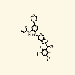 C=CC(=O)Nc1cc(N2CCOCC2)ccc1Nc1cc2cc(C(O)c3c(F)c(OC)cc(OC)c3F)oc2cn1